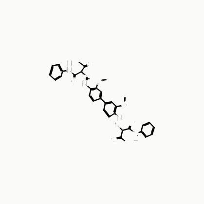 COc1cc(-c2ccc(/N=N/C(C(C)=O)C(=O)Nc3ccccc3)c(OC)c2)ccc1/N=N/C(C(C)=O)C(=O)Nc1ccccc1